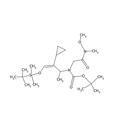 CON(C)C(=O)CN(C(=O)OC(C)(C)C)C(C)C(=CO[Si](C)(C)C(C)(C)C)C1CC1